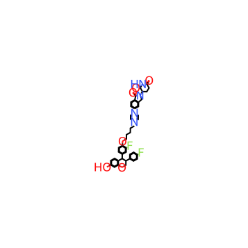 O=C1CCC(N2Cc3cc(N4CCN(CCCCCOc5ccc(C6c7ccc(O)cc7OCC6c6ccc(F)cc6)cc5F)CC4)ccc3C2=O)C(=O)N1